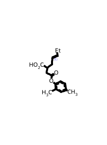 CC/C=C/CC(CC(=O)Oc1ccc(C)cc1C)C(=O)O